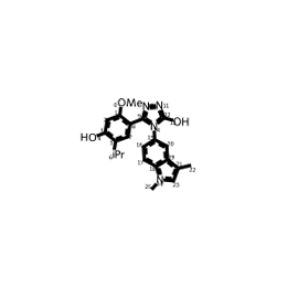 COc1cc(O)c(C(C)C)cc1-c1nnc(O)n1-c1ccc2c(c1)c(C)cn2C